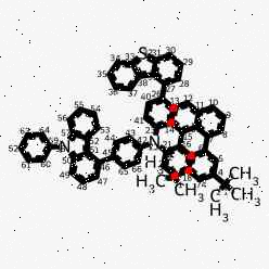 CC(C)(C)c1cc(-c2cccc3cccc(-c4ccccc4N(c4ccc(-c5cccc6sc7ccccc7c56)cc4)c4ccc(-c5cccc6c5c5ccccc5n6-c5ccccc5)cc4)c23)cc(C(C)(C)C)c1